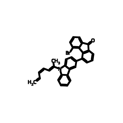 C=C/C=C\C=C(/C)n1c2ccccc2c2cc(-c3cccc4c3-c3c(Br)cccc3C4=O)ccc21